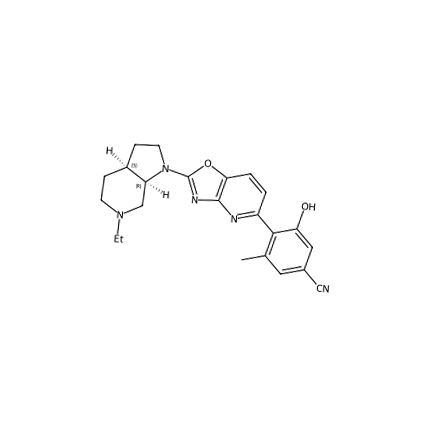 CCN1CC[C@H]2CCN(c3nc4nc(-c5c(C)cc(C#N)cc5O)ccc4o3)[C@H]2C1